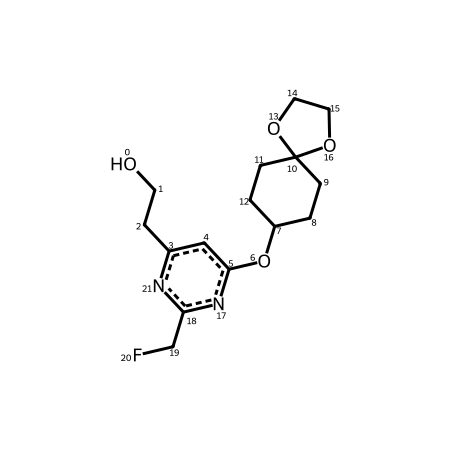 OCCc1cc(OC2CCC3(CC2)OCCO3)nc(CF)n1